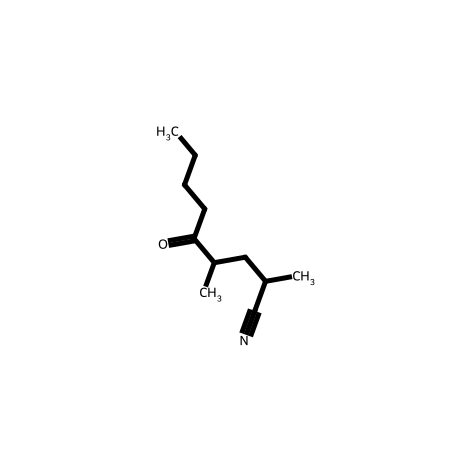 CCCCC(=O)C(C)CC(C)C#N